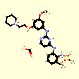 COc1cc(Nc2nccc(Nc3cccc(C)c3NS(C)(=O)=O)n2)cc(OCCN2CCCCC2)c1.O=CO